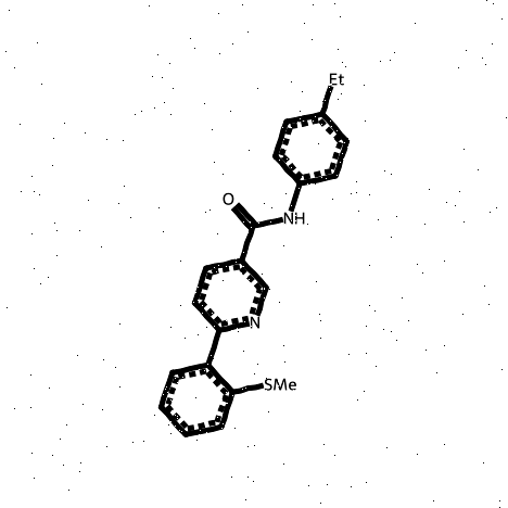 CCc1ccc(NC(=O)c2ccc(-c3ccccc3SC)nc2)cc1